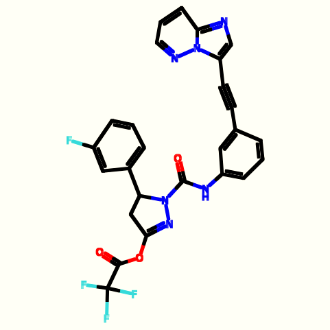 O=C(Nc1cccc(C#Cc2cnc3cccnn23)c1)N1N=C(OC(=O)C(F)(F)F)CC1c1cccc(F)c1